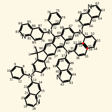 CC1(C)c2cc(N(c3ccccc3)c3ccc4ncccc4c3)ccc2-c2cc3c(N(c4ccccc4)c4ccc5ncccc5c4)c4cc(N(c5ccccc5)c5ccc6ncccc6c5)ccc4c(N(c4ccccc4)c4ccc5ncccc5c4)c3cc21